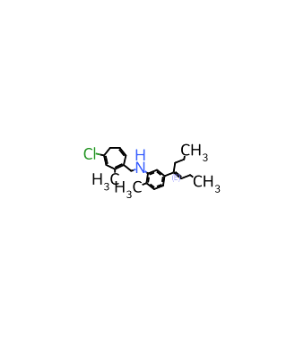 CC/C=C(\CCC)c1ccc(C)c(NCC2=C(C)C=C(Cl)CC=C2)c1